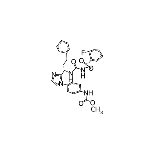 COC(=O)Nc1ccc(-n2ccnc2[C@H](CCc2ccccc2)NC(=O)NS(=O)(=O)c2ccccc2F)cc1